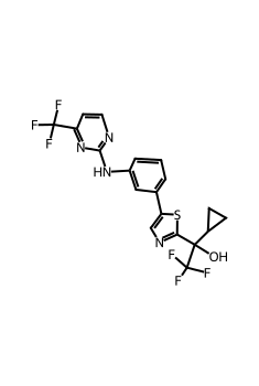 OC(c1ncc(-c2cccc(Nc3nccc(C(F)(F)F)n3)c2)s1)(C1CC1)C(F)(F)F